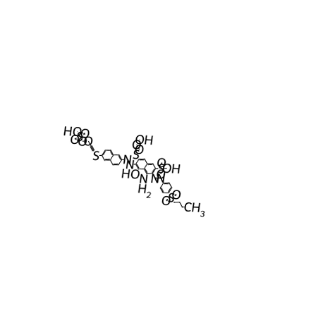 CCCCS(=O)(=O)c1ccc(N=Nc2c(S(=O)(=O)O)cc3cc(SOOO)c(N=Nc4ccc5cc(SC#COOS(=O)(=O)O)ccc5c4)c(O)c3c2N)cc1